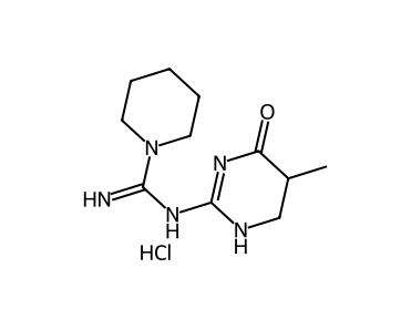 CC1CNC(NC(=N)N2CCCCC2)=NC1=O.Cl